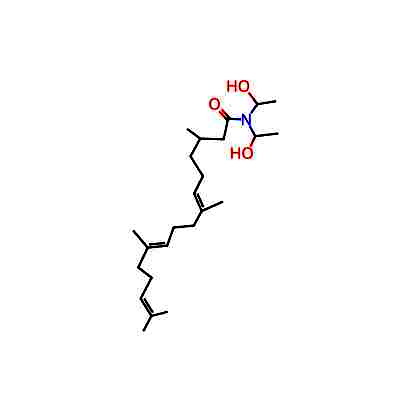 CC(C)=CCCC(C)=CCCC(C)=CCCC(C)CC(=O)N(C(C)O)C(C)O